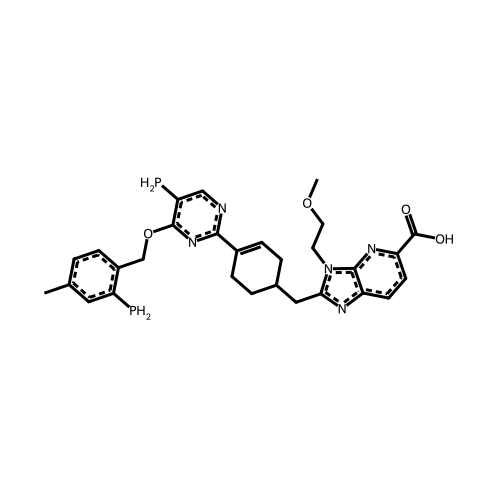 COCCn1c(CC2CC=C(c3ncc(P)c(OCc4ccc(C)cc4P)n3)CC2)nc2ccc(C(=O)O)nc21